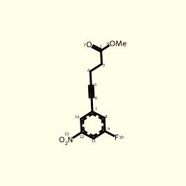 COC(=O)CCC#Cc1cc(F)cc([N+](=O)[O-])c1